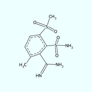 Cc1ccc(S(C)(=O)=O)c(S(N)(=O)=O)c1C(=N)N